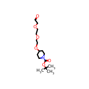 CC(C)(C)OC(=O)N1CCC(OCCOCCOCC=O)CC1